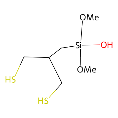 CO[Si](O)(CC(CS)CS)OC